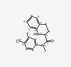 Cc1cc(N(C)C(=O)C2CCc3ccccc3N2)ccc1Cl